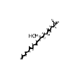 C=CCCCCCCCCCCCCCCCCCN(C)C.Cl